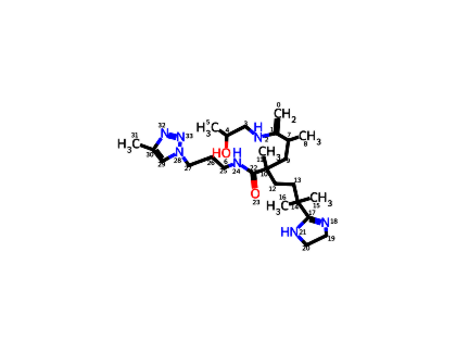 C=C(NCC(C)O)C(C)CC(C)(CCC(C)(C)C1=NCCN1)C(=O)NCCCn1cc(C)nn1